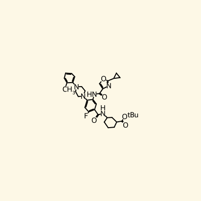 Cc1ccccc1N1CCN(c2cc(F)c(C(=O)NC3CCCC(C(=O)OC(C)(C)C)C3)cc2NC(=O)c2coc(C3CC3)n2)CC1